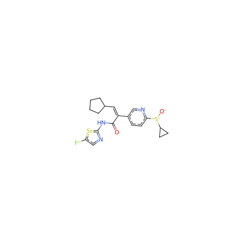 O=C(Nc1ncc(F)s1)C(=CC1CCCC1)c1ccc([S+]([O-])C2CC2)nc1